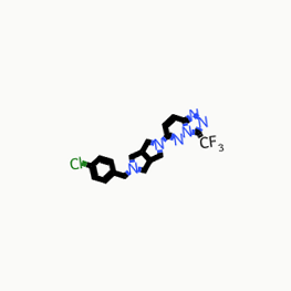 FC(F)(F)c1nnc2ccc(N3CC4CN(Cc5ccc(Cl)cc5)CC4C3)nn12